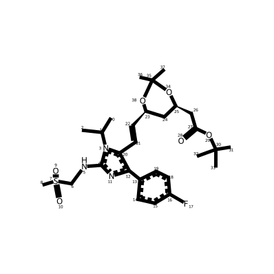 CC(C)n1c(NCS(C)(=O)=O)nc(-c2ccc(F)cc2)c1C=C[C@@H]1C[C@H](CC(=O)OC(C)(C)C)OC(C)(C)O1